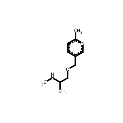 CNC(C)COCc1ccc(C)nc1